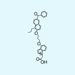 CCCc1c(OCCCOc2cccc3c2ccn3CC(=O)O)ccc2cc(C(=O)c3ccccc3)ccc12